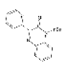 CCCCn1c(=O)c(-c2ccccc2)nc2ccccc21